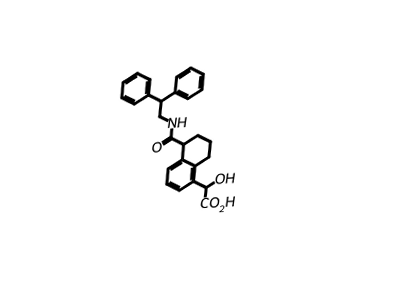 O=C(O)C(O)c1cccc2c1CCCC2C(=O)NCC(c1ccccc1)c1ccccc1